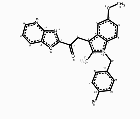 COc1ccc2c(c1)c(CC(=O)c1nc3ncccc3o1)c(C)n2Cc1ccc(Br)cc1